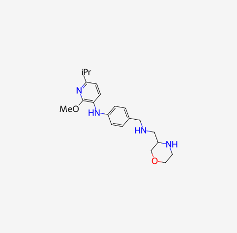 COc1nc(C(C)C)ccc1Nc1ccc(CNCC2COCCN2)cc1